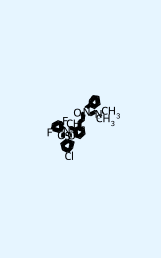 C[C@H](c1ccccc1CCC(=O)N(CCN(C)C)Cc1ccccc1)N(c1cc(F)ccc1F)S(=O)(=O)c1ccc(Cl)cc1